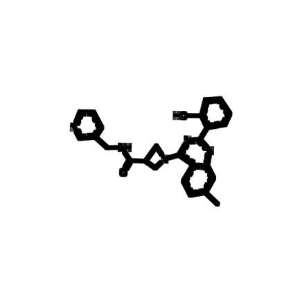 Cc1ccc2c(N3CC(C(=O)NCc4cccnc4)C3)nc(-c3ccccc3O)nc2c1